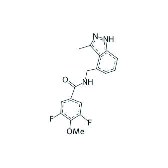 COc1c(F)cc(C(=O)NCc2cccc3[nH]nc(C)c23)cc1F